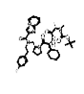 C[C@@H](C(=O)N[C@H](C(=O)N1CCC[C@H]1CN(CCc1ccc(F)cc1)C(=O)c1cn2ccccc2n1)C1CCCCC1)N(C)C(=O)OC(C)(C)C